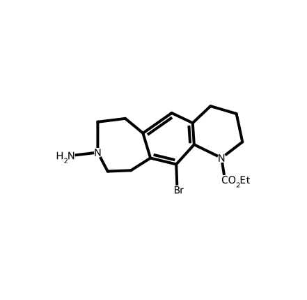 CCOC(=O)N1CCCc2cc3c(c(Br)c21)CCN(N)CC3